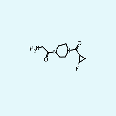 NCC(=O)N1CCN(C(=O)[C@H]2C[C@@H]2F)CC1